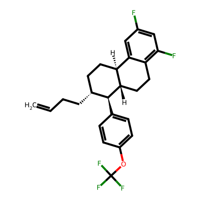 C=CCC[C@@H]1CC[C@H]2c3cc(F)cc(F)c3CC[C@@H]2[C@H]1c1ccc(OC(F)(F)F)cc1